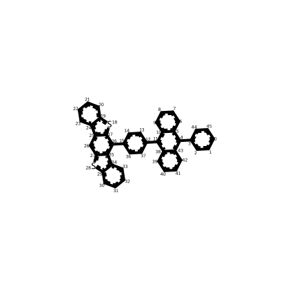 c1ccc(-c2c3ccccc3c(-c3ccc(-c4c5sc6ccccc6c5cc5sc6ccccc6c45)cc3)c3ccccc23)cc1